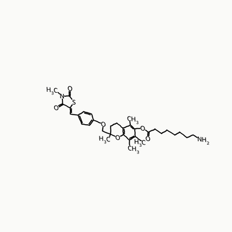 Cc1c(C)c2c(c(C)c1OC(=O)CCCCCCCN)CCC(C)(COc1ccc(/C=C3\SC(=O)N(C)C3=O)cc1)O2